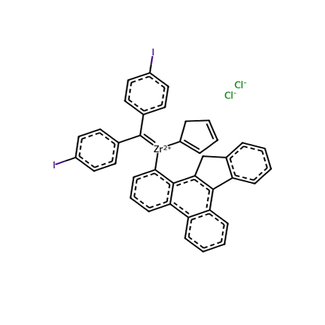 Ic1ccc([C](c2ccc(I)cc2)=[Zr+2]([C]2=CC=CC2)[c]2cccc3c2c2c(c4ccccc43)-c3ccccc3C2)cc1.[Cl-].[Cl-]